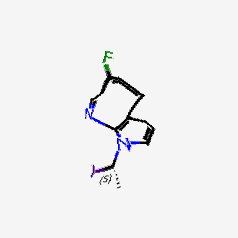 C[C@H](I)n1ccc2cc(F)cnc21